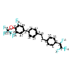 FC(F)=C(F)c1ccc(CCc2ccc(-c3cc(F)c(OC(F)(F)F)c(F)c3)cc2)cc1